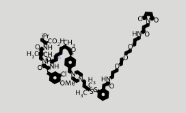 COc1ccc(C[C@@H](NC(=O)/C=C/CC[C@H](C)[C@H]2O[C@@H]2c2ccc(CN3CCN(CCC(C)(C)SSc4ccccc4CC(=O)NCCCOCCOCCOCCCNC(=O)CCN4C(=O)C=CC4=O)CC3)cc2)C(=O)NCC(C)(C)C(=O)N[C@@H](CC(C)C)C(=O)O)cc1Cl